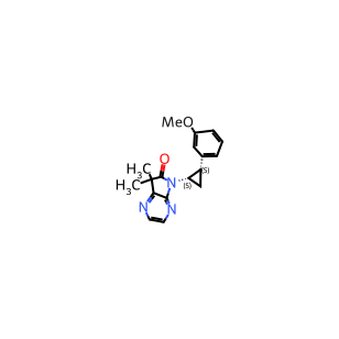 COc1cccc([C@@H]2C[C@@H]2N2C(=O)C(C)(C)c3nccnc32)c1